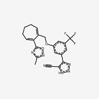 Cc1noc(C2=CCCCC=C2COc2cc(-c3nn[nH]c3C#N)cc(C(F)(F)F)c2)n1